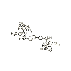 COC(=O)N[C@H](C(=O)N1C[C@@H](C)C[C@H]1c1nc(-c2ccc3cc(-c4ccc(-c5c[nH]c([C@@H]6C[C@H](C)CN6C(C=O)(NC(=O)O)C6CCOCC6)n5)cc4)ccc3c2)c[nH]1)C(C)C